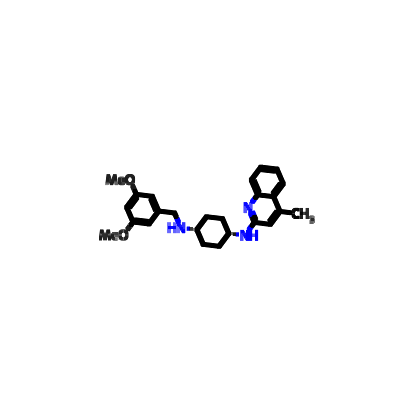 COc1cc(CN[C@H]2CC[C@@H](Nc3cc(C)c4ccccc4n3)CC2)cc(OC)c1